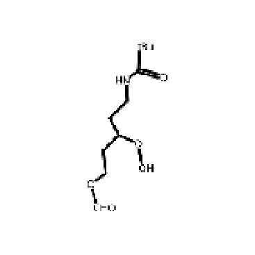 CC(C)(C)C(=O)NCCC(CCOC=O)OO